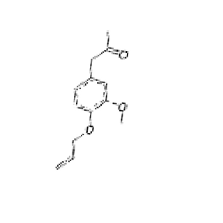 C=CCOc1ccc(CC(C)=O)cc1OC